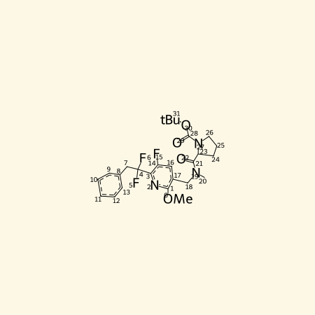 COc1nc(C(F)(F)Cc2ccccc2)c(F)cc1CN(C)C(=O)C1CCCN1C(=O)OC(C)(C)C